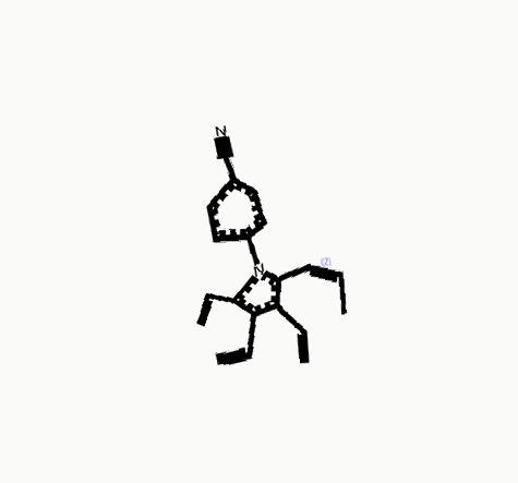 C=Cc1c(C=C)c(/C=C\C)n(-c2ccc(C#N)cc2)c1C=C